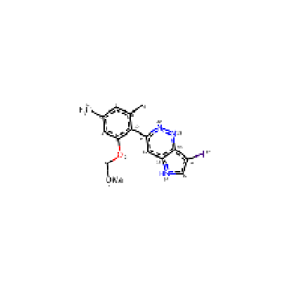 COCOc1cc(C(F)(F)F)cc(C)c1-c1cc2[nH]cc(I)c2nn1